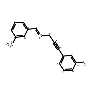 O=[N+]([O-])c1cccc(C=NCC#Cc2cccc(Cl)c2)c1